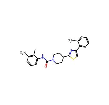 Cc1c(NC(=O)N2CCC(c3nc(-c4ccccc4[N+](=O)[O-])cs3)CC2)cccc1[N+](=O)[O-]